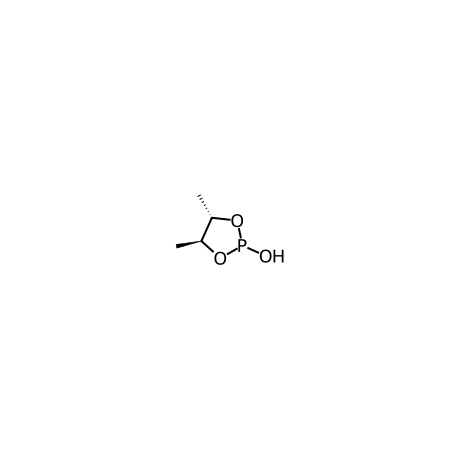 C[C@@H]1OP(O)O[C@H]1C